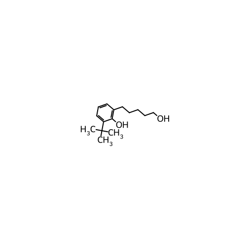 CC(C)(C)c1cccc(CCCCCO)c1O